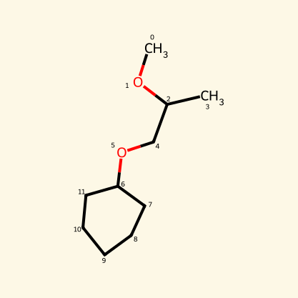 COC(C)COC1CCCCC1